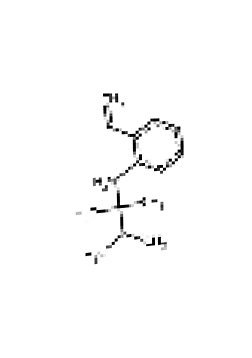 C=Cc1ccccc1[SiH2]C(C)(C)C(C)C